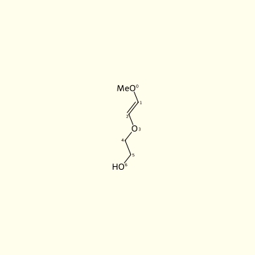 COC=COCCO